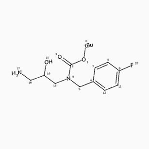 CC(C)(C)OC(=O)N(Cc1ccc(F)cc1)CC(O)CN